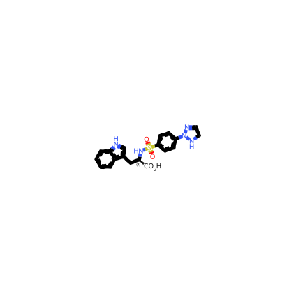 O=C(O)[C@@H](Cc1c[nH]c2ccccc12)NS(=O)(=O)c1ccc(N2N=CCN2)cc1